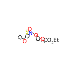 CCOC(=O)C(C)(C)Oc1cccc(OCCn2c(=O)sc3cc(C(=O)c4ccccc4)ccc32)c1